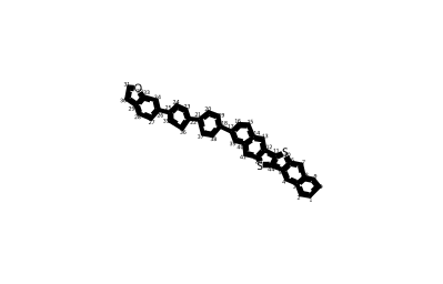 c1ccc2cc3c(cc2c1)sc1c2cc4ccc(-c5ccc(-c6ccc(-c7ccc8ccoc8c7)cc6)cc5)cc4cc2sc31